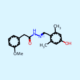 COc1cccc(CC(=O)N/N=C/c2c(C)cc(O)cc2C)c1